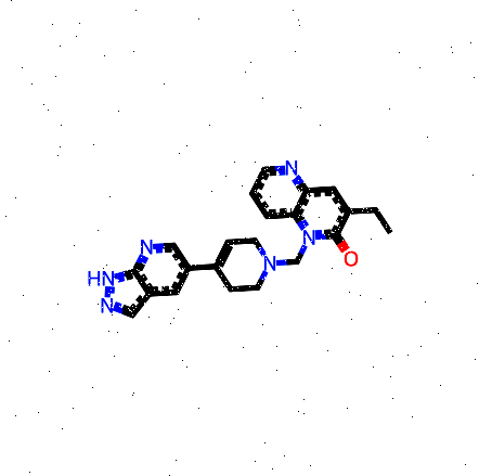 CCc1cc2ncccc2n(CN2CC=C(c3cnc4[nH]ncc4c3)CC2)c1=O